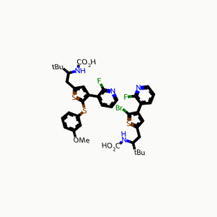 CC(C)(C)C(Cc1cc(-c2cccnc2F)c(Br)s1)NC(=O)O.COc1cccc(Sc2sc(CC(NC(=O)O)C(C)(C)C)cc2-c2cccnc2F)c1